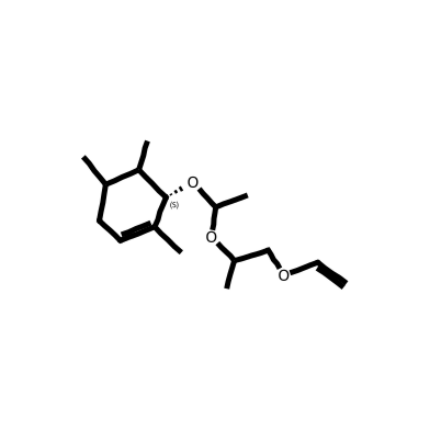 C=COCC(C)OC(C)O[C@@H]1C(C)=CCC(C)C1C